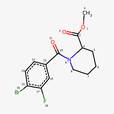 COC(=O)C1CCCCN1C(=O)c1ccc(Br)c(F)c1